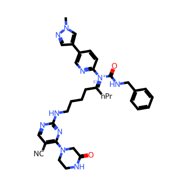 CCC/C(CCCCNc1ncc(C#N)c(N2CCNC(=O)C2)n1)=[N+](\C(=O)NCc1ccccc1)c1ccc(-c2cnn(C)c2)cn1